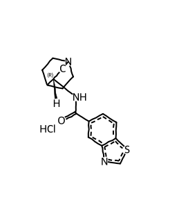 Cl.O=C(N[C@H]1CN2CCC1CC2)c1ccc2scnc2c1